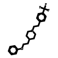 FC(F)(F)c1ccc(CCN2CCC(CCOc3ccccc3)CC2)cc1